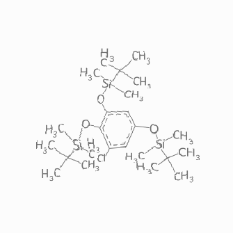 CC(C)(C)[Si](C)(C)Oc1cc(Cl)c(O[Si](C)(C)C(C)(C)C)c(O[Si](C)(C)C(C)(C)C)c1